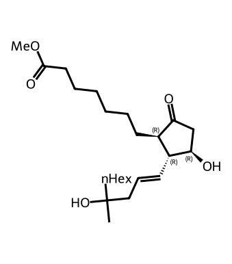 CCCCCCC(C)(O)CC=C[C@H]1[C@H](O)CC(=O)[C@@H]1CCCCCCC(=O)OC